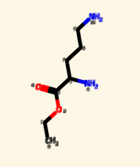 CCOC(=O)C(N)CCCN